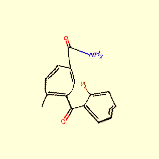 Cc1ccc(C(N)=O)cc1C(=O)c1ccccc1S